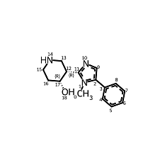 Cn1c(-c2ccccc2)cnc1[C@H]1CNCC[C@H]1O